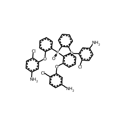 Nc1ccc(Cl)c(Oc2ccccc2P(=O)(c2ccccc2Oc2cc(N)ccc2Cl)c2ccccc2Oc2cc(N)ccc2Cl)c1